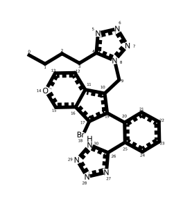 CCCCc1nnnn1Cc1c2ccocc-2c(Br)c1-c1ccccc1-c1nnn[nH]1